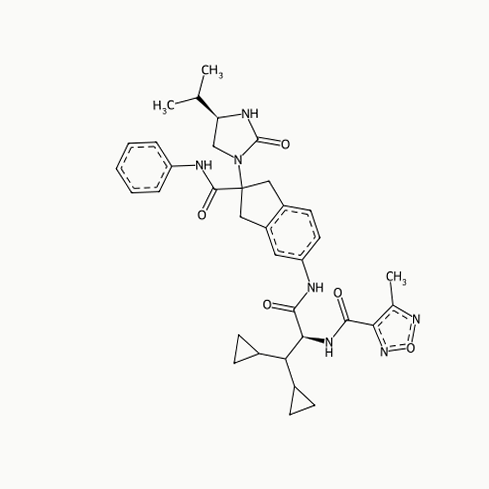 Cc1nonc1C(=O)N[C@H](C(=O)Nc1ccc2c(c1)CC(C(=O)Nc1ccccc1)(N1C[C@@H](C(C)C)NC1=O)C2)C(C1CC1)C1CC1